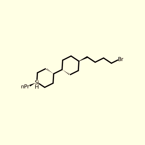 CCC[Si@H]1CC[C@H]([C@H]2CC[C@H](CCCCBr)CC2)CC1